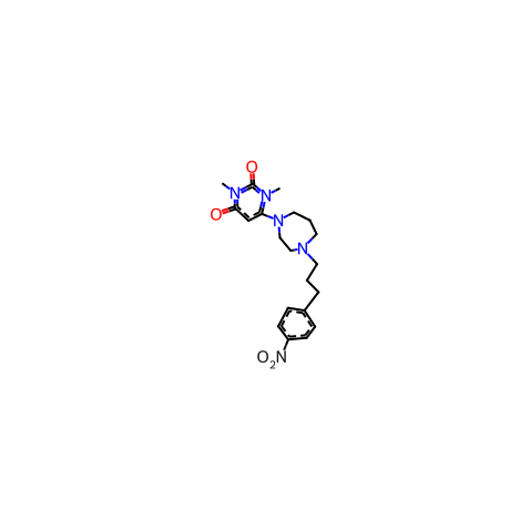 Cn1c(N2CCCN(CCCc3ccc([N+](=O)[O-])cc3)CC2)cc(=O)n(C)c1=O